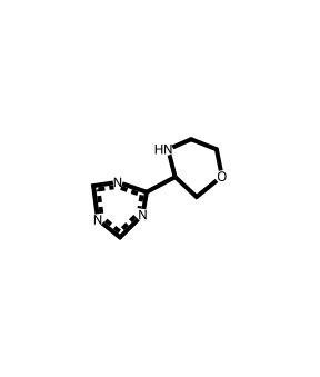 c1ncnc(C2COCCN2)n1